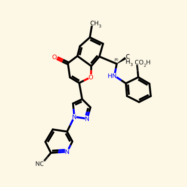 Cc1cc([C@@H](C)Nc2ccccc2C(=O)O)c2oc(-c3cnn(-c4ccc(C#N)nc4)c3)cc(=O)c2c1